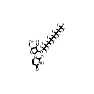 O=c1ccn([C@@H]2O[C@H](CO)C(O)C2OC(F)(F)C(F)(F)C(F)(F)C(F)(F)C(F)(F)C(F)(F)C(F)(F)C(F)(F)F)c(=O)[nH]1